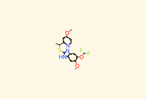 COc1ccnc(C(C)Sc2nc3cc(OC(F)F)c(OC)cc3[nH]2)c1